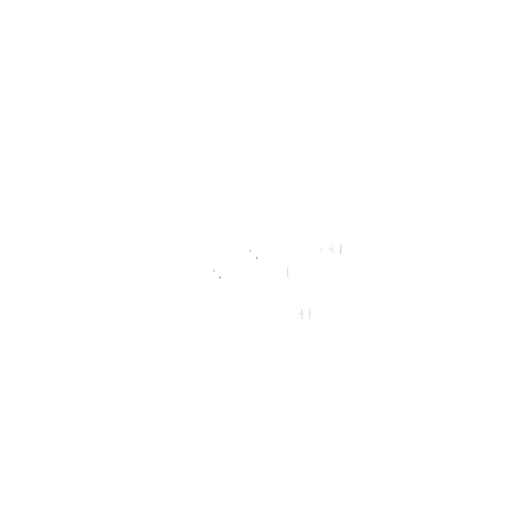 OB(O)N1CC=CN1